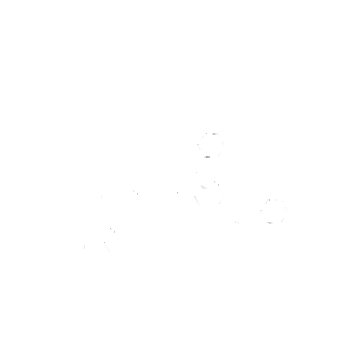 COc1ccc(C[C@@H](NC(=O)CC2NCCc3ccccc32)C(=O)N2CCC(N(CC(C)C)C3CCN(C(C)=O)CC3)CC2)cc1